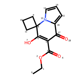 CCOC(=O)C1=C(O)C2(CCC2)n2cccc2C1=O